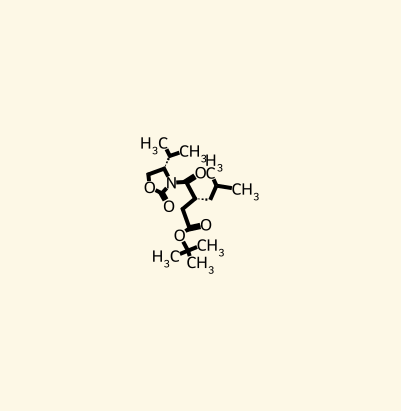 CC(C)C[C@H](CC(=O)OC(C)(C)C)C(=O)N1C(=O)OC[C@@H]1C(C)C